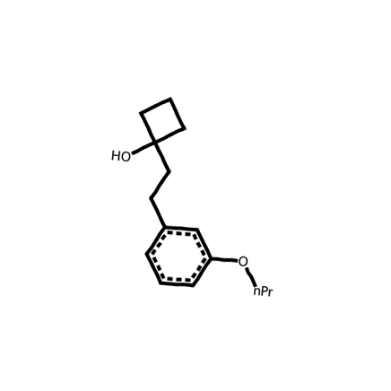 CCCOc1cccc(CCC2(O)CCC2)c1